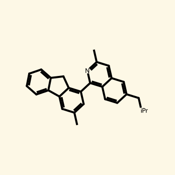 Cc1cc2c(c(-c3nc(C)cc4cc(CC(C)C)ccc34)c1)Cc1ccccc1-2